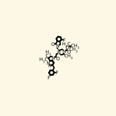 C[C@@H]1CN(CC(=O)N2CC(C)(C)c3nnc(Cc4ccc(F)cc4F)cc32)[C@@H](CN2Cc3c(F)cccc3C2=O)CN1C(=O)OC(C)(C)C